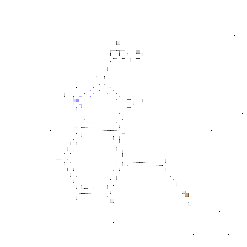 CCOC(=O)c1nc2cccc(CBr)c2o1